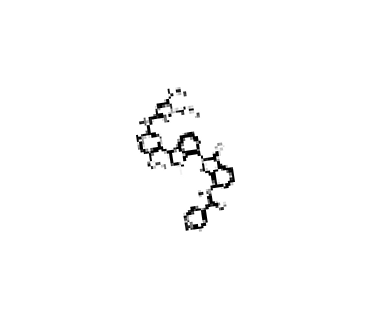 Cc1cnc(Nc2cc(C)n(C)n2)nc1-c1c[nH]c2c(N3Cc4c(NC(=O)c5ccncc5)cccc4C3=O)cccc12